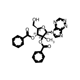 C[C@@]1(OC(=O)c2ccccc2)[C@H](OC(=O)c2ccccc2)[C@@H](CO)O[C@H]1n1cnc2nncnc21